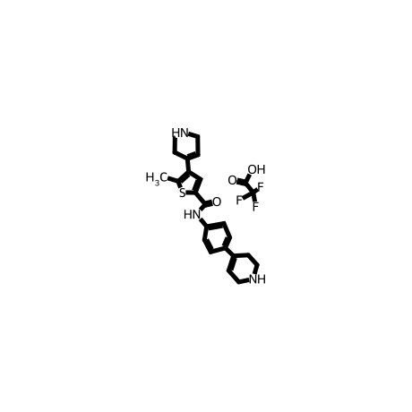 Cc1sc(C(=O)Nc2ccc(C3=CCNCC3)cc2)cc1C1=CCNCC1.O=C(O)C(F)(F)F